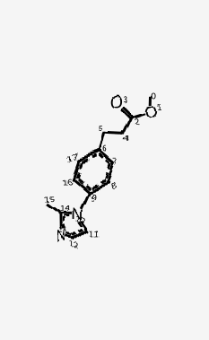 COC(=O)CCc1ccc(-n2ccnc2C)cc1